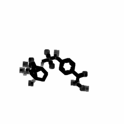 CC1(C)[C@H]2CC[C@]1(CS(=O)(=O)Nc1ccc(C(=O)NO)cc1)C(=O)C2